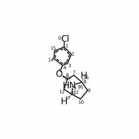 Clc1ccc(O[C@H]2C[C@H]3CC[C@@H](C2)N3)cc1